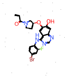 C=CC(=O)N1CC[C@H](Oc2cc3c(Nc4ccc(Br)cc4F)ncnc3cc2O)C1